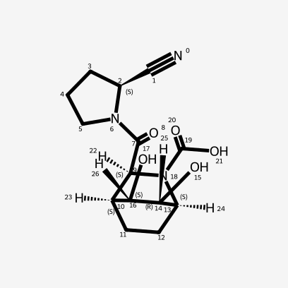 N#C[C@@H]1CCCN1C(=O)[C@@H]1[C@@H]2CC[C@@H]([C@@H](O)[C@H]2O)N1C(=O)O